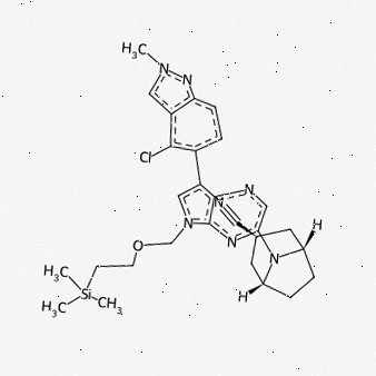 Cn1cc2c(Cl)c(-c3cn(COCC[Si](C)(C)C)c4nc(N5[C@@H]6CC[C@H]5C[C@H](C#N)C6)cnc34)ccc2n1